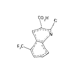 O=C(O)c1cc2c(C(F)(F)F)cccc2nc1Cl